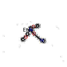 CCc1c(-c2ccc(OCc3ccccc3)cc2)c2c(COCCCCCCCN3CCCCC3)cc3c(OCc4ccccc4)ccc1n32